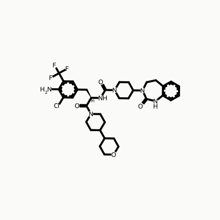 Nc1c(Cl)cc(C[C@@H](NC(=O)N2CCC(N3CCc4ccccc4NC3=O)CC2)C(=O)N2CCC(C3CCOCC3)CC2)cc1C(F)(F)F